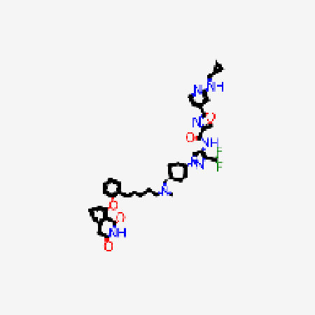 CN(CCCCCc1ccccc1Oc1cccc2c1C(=O)NC(=O)C2)C[C@H]1CC[C@H](n2cc(NC(=O)c3coc(-c4ccnc(NCC5CC5)c4)n3)c(C(F)F)n2)CC1